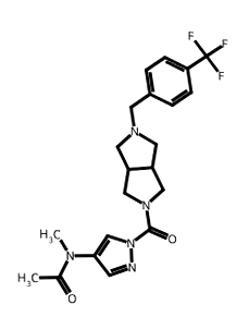 CC(=O)N(C)c1cnn(C(=O)N2CC3CN(Cc4ccc(C(F)(F)F)cc4)CC3C2)c1